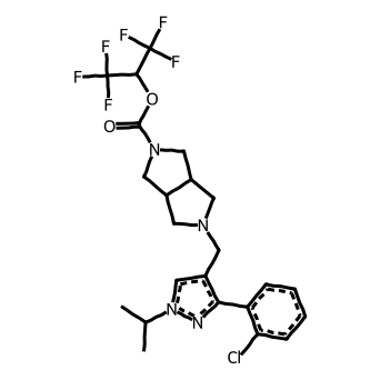 CC(C)n1cc(CN2CC3CN(C(=O)OC(C(F)(F)F)C(F)(F)F)CC3C2)c(-c2ccccc2Cl)n1